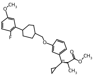 COC(=O)C(C)[C@H](c1cccc(OCC2CCC(c3cc(OC)ccc3F)CC2)c1)C1CC1